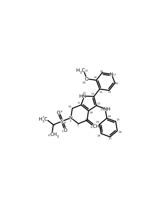 C=C1CN(S(=O)(=O)C(C)C)Cc2[nH]c(-c3ccncc3OC)c(Nc3ccccc3)c21